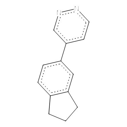 c1cc(-c2ccc3c(c2)CCC3)cnn1